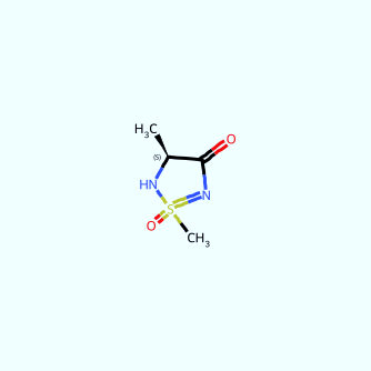 C[C@@H]1NS(C)(=O)=NC1=O